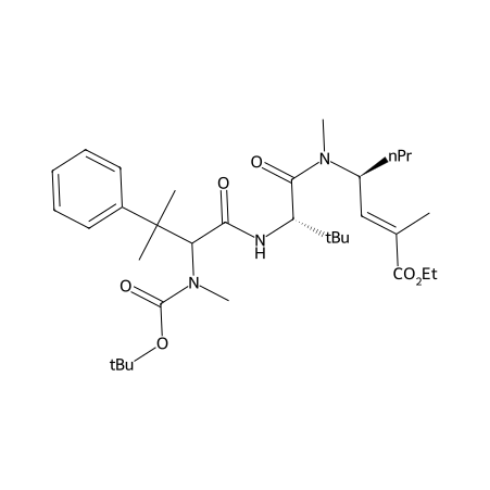 CCC[C@@H](C=C(C)C(=O)OCC)N(C)C(=O)[C@@H](NC(=O)C(N(C)C(=O)OC(C)(C)C)C(C)(C)c1ccccc1)C(C)(C)C